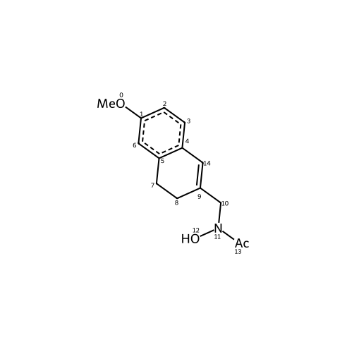 COc1ccc2c(c1)CCC(CN(O)C(C)=O)=C2